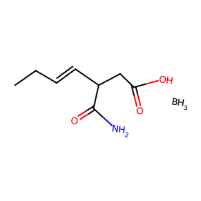 B.CCC=CC(CC(=O)O)C(N)=O